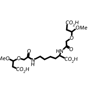 COC(CC(=O)O)OCC(=O)NCCCCC(NC(=O)COC(CC(=O)O)OC)C(=O)O